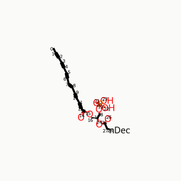 CC#CC#CC#CC#CC#CC#CC(=O)OC[C@@H](COP(=O)(O)O)OC(=O)CCCCCCCCCCC